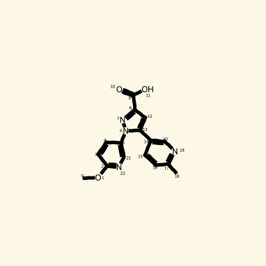 COc1ccc(-n2nc(C(=O)O)cc2-c2ccc(C)nc2)cn1